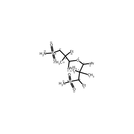 CCCC(OC(CCC)C(C)(C)C(CC)S(N)(=O)=O)C(C)(CC)CS(N)(=O)=O